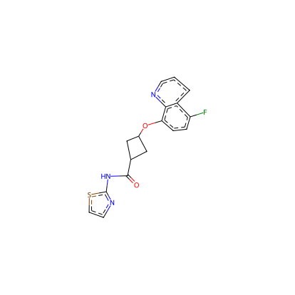 O=C(Nc1nccs1)C1CC(Oc2ccc(F)c3cccnc23)C1